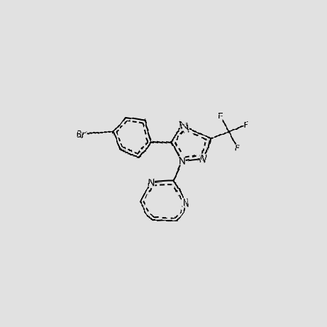 FC(F)(F)c1nc(-c2ccc(Br)cc2)n(-c2ncccn2)n1